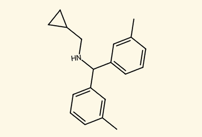 Cc1cccc(C(NCC2CC2)c2cccc(C)c2)c1